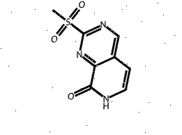 CS(=O)(=O)c1ncc2cc[nH]c(=O)c2n1